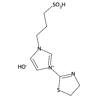 O=S(=O)(O)CCCn1cc[n+](C2=NCCS2)c1.[OH-]